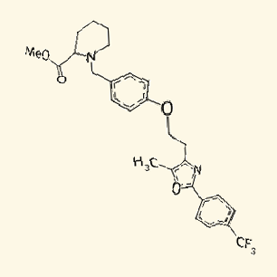 COC(=O)C1CCCCN1Cc1ccc(OCCc2nc(-c3ccc(C(F)(F)F)cc3)oc2C)cc1